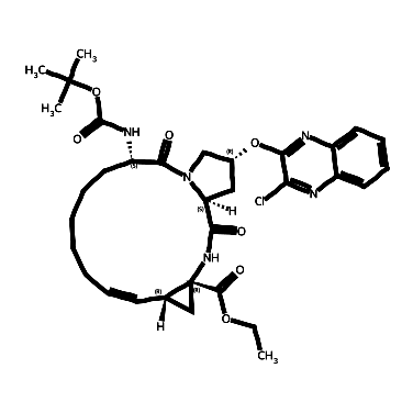 CCOC(=O)[C@@]12C[C@@H]1C=CCCCCC[C@H](NC(=O)OC(C)(C)C)C(=O)N1C[C@H](Oc3nc4ccccc4nc3Cl)C[C@H]1C(=O)N2